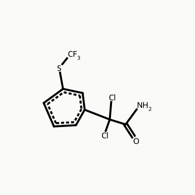 NC(=O)C(Cl)(Cl)c1cccc(SC(F)(F)F)c1